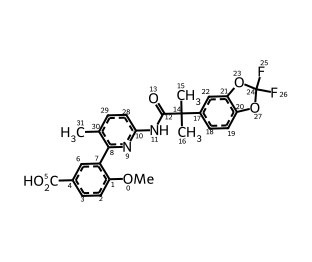 COc1ccc(C(=O)O)cc1-c1nc(NC(=O)C(C)(C)c2ccc3c(c2)OC(F)(F)O3)ccc1C